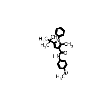 COc1ccc(NC(=O)c2cc(C(C)(C)C)n(-c3ccccc3)c2C)cc1